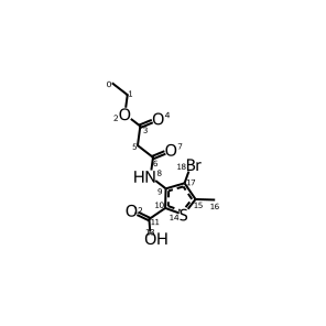 CCOC(=O)CC(=O)Nc1c(C(=O)O)sc(C)c1Br